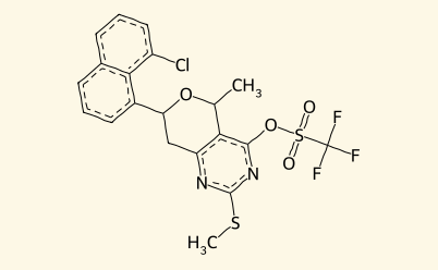 CSc1nc2c(c(OS(=O)(=O)C(F)(F)F)n1)C(C)OC(c1cccc3cccc(Cl)c13)C2